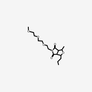 CCCC1OC(C)C2C(=O)N(CCOCCOCCOC)C(=O)C12